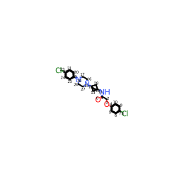 O=C(COc1ccc(Cl)cc1)NC12CC(N3CCN(c4ccc(Cl)cc4)CC3)(C1)C2